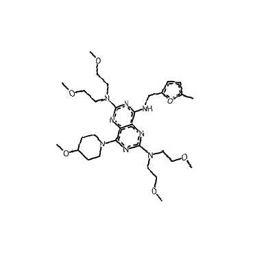 COCCN(CCOC)c1nc(N2CCC(OC)CC2)c2nc(N(CCOC)CCOC)nc(NCc3ccc(C)o3)c2n1